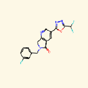 O=C1c2cc(-c3nnc(C(F)F)o3)cnc2CN1Cc1cccc(F)c1